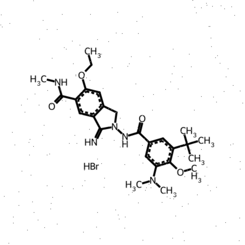 Br.CCOc1cc2c(cc1C(=O)NC)C(=N)N(NC(=O)c1cc(N(C)C)c(OC)c(C(C)(C)C)c1)C2